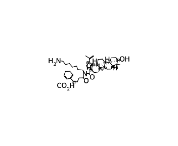 C=C(C)[C@@H]1CC[C@]2(C(=O)N(CCCCCCCN)C(=O)CC[C@@H](C(=O)O)c3ccccc3)CC[C@]3(C)[C@H](CC[C@H]4[C@@]5(C)CC[C@H](O)C(C)(C)[C@@H]5CC[C@]43C)[C@@H]12